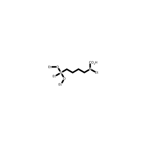 CCO[Si](CC)(CCCCN(CC)C(=O)O)OCC